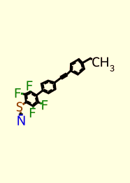 CCc1ccc(C#Cc2ccc(-c3c(F)c(F)c(SC#N)c(F)c3F)cc2)cc1